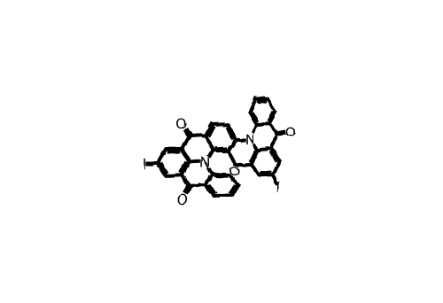 O=c1c2ccccc2n2c3ccc4c(=O)c5cc(I)cc6c(=O)c7ccccc7n(c65)c4c3c(=O)c3cc(I)cc1c32